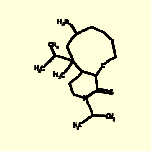 BC1CCCCCC2C(=S)N(C(C)C)CCC2C(C)(C(C)C)C1